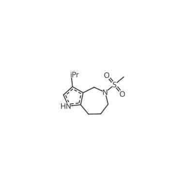 CC(C)c1c[nH]c2c1CN(S(C)(=O)=O)CCC2